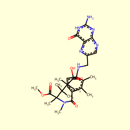 COC(=O)C(C)(N(C)C(=O)c1ccc(NCc2cnc3nc(N)[nH]c(=O)c3n2)c(C)c1C)C(C)(C)C(C)(C)C(=O)O